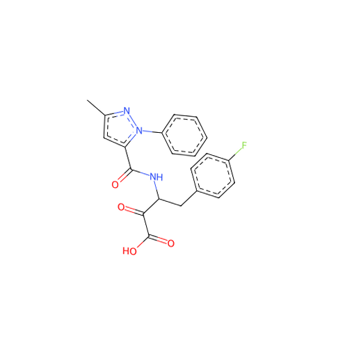 Cc1cc(C(=O)NC(Cc2ccc(F)cc2)C(=O)C(=O)O)n(-c2ccccc2)n1